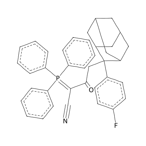 N#CC(C(=O)CC1(c2ccc(F)cc2)C2CC3CC(C2)CC1C3)=P(c1ccccc1)(c1ccccc1)c1ccccc1